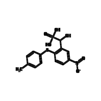 Cc1ccc(Sc2ccc([N+](=O)[O-])cc2C(O)P(=O)(O)O)cc1